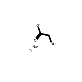 O=C([O-])CO.[Na+].[Ti]